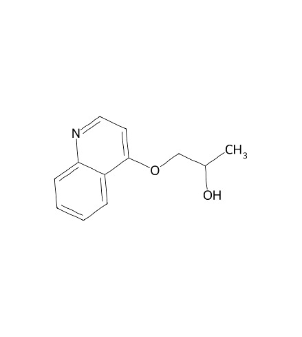 CC(O)COc1ccnc2ccccc12